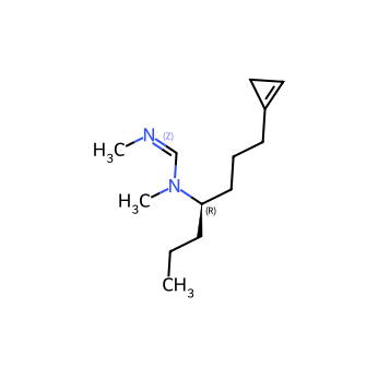 CCC[C@H](CCCC1=CC1)N(C)/C=N\C